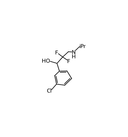 CC(C)NCC(F)(F)C(O)c1cccc(Cl)c1